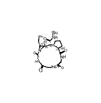 CC(C)C[C@H]1[C@@H]2[C@H](C(=O)NC(C)(C)C)N3CCC[C@H]3C(=O)NCC(=O)NCC(=O)NCC(=O)N21